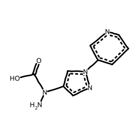 NN(C(=O)O)c1cnn(-c2cccnc2)c1